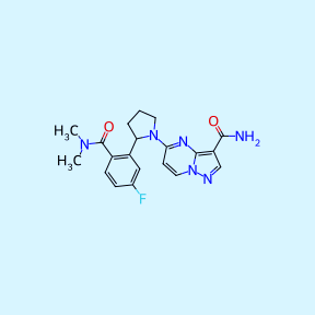 CN(C)C(=O)c1ccc(F)cc1C1CCCN1c1ccn2ncc(C(N)=O)c2n1